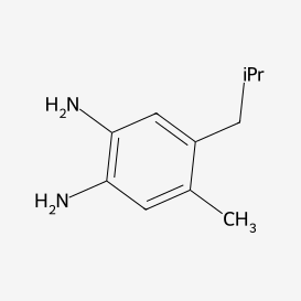 Cc1cc(N)c(N)cc1CC(C)C